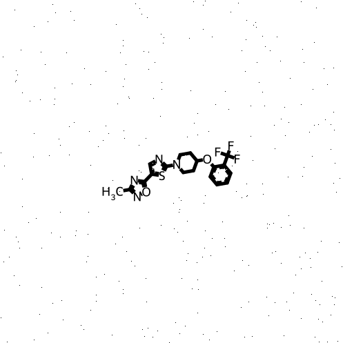 Cc1noc(-c2cnc(N3CCC(Oc4ccccc4C(F)(F)F)CC3)s2)n1